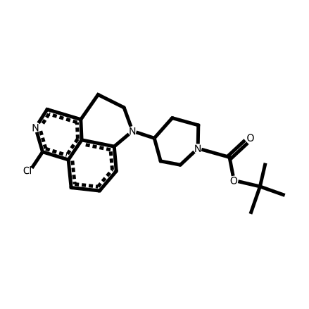 CC(C)(C)OC(=O)N1CCC(N2CCc3cnc(Cl)c4cccc2c34)CC1